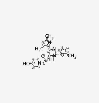 Cc1cc(C)n(-c2cc(NC(=O)CN3CCC(O)CC3)nc(-c3ccc(C)o3)n2)n1